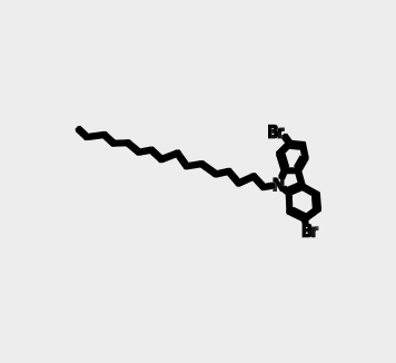 CCCCCCCCCCCCCCCCn1c2cc(Br)ccc2c2ccc(Br)cc21